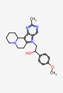 COc1ccc(C(O)Cn2c3c(c4nc(C)ncc42)C2CCCCN2CC3)cc1